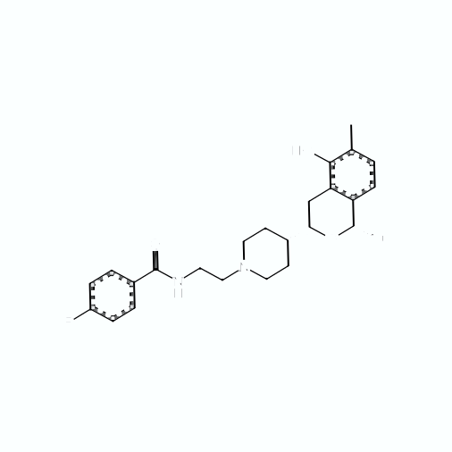 CC[C@@H]1O[C@H](C2CCN(CCNC(=O)c3ccc(F)cc3)CC2)Cc2c1ccc(C)c2O